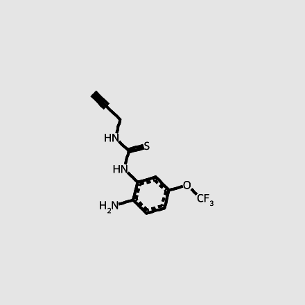 C#CCNC(=S)Nc1cc(OC(F)(F)F)ccc1N